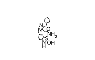 NC(=O)Cc1c(Cc2ccccc2)ncn1Cc1ccc2c(c1)SC(O)N2